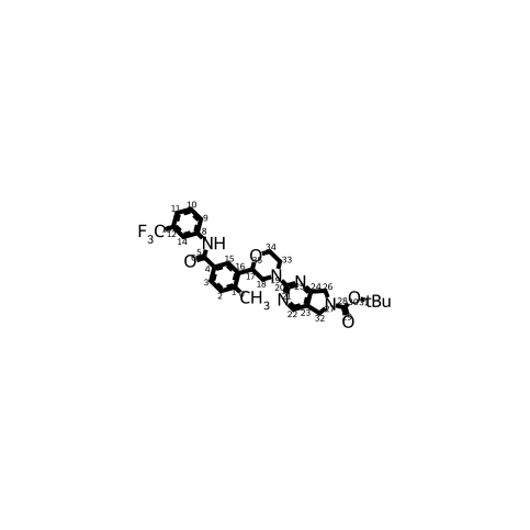 Cc1ccc(C(=O)Nc2cccc(C(F)(F)F)c2)cc1C1CN(c2ncc3c(n2)CN(C(=O)OC(C)(C)C)C3)CCO1